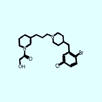 O=C(CO)N1CCCC(CCCN2CCC(Cc3cc(Cl)ccc3Br)CC2)C1